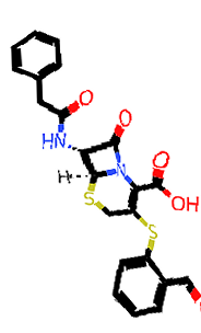 O=Cc1ccccc1SC1=C(C(=O)O)N2C(=O)[C@@H](NC(=O)Cc3ccccc3)[C@@H]2SC1